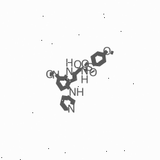 COc1ccc(S(=O)(=O)NC(=O)c2cc3c(Nc4cccnc4)ccc(N=O)c3[nH]2)cc1